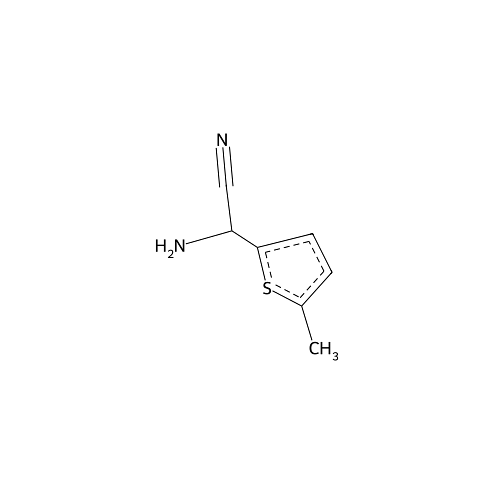 Cc1ccc(C(N)C#N)s1